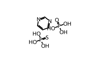 O=P(O)(O)O.OP(O)(O)=S.c1cncnc1